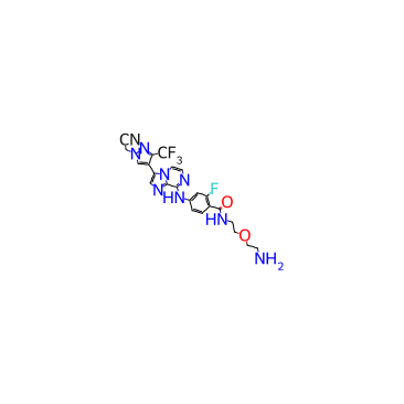 N#CCn1cc(-c2cnc3c(Nc4ccc(C(=O)NCCOCCN)c(F)c4)nccn23)c(C(F)(F)F)n1